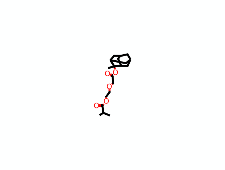 CC(C)C(=O)OCCOCC(=O)OC1(C)C2CC3CC(C2)CC1C3